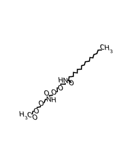 CCCCCCCCCCCCCCCCCC(=O)NCCOCCOCC(=O)NCCOCCOCC(C)=O